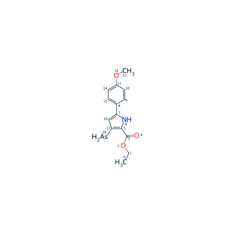 CCOC(=O)c1[nH]c(-c2ccc(OC)cc2)cc1[AsH2]